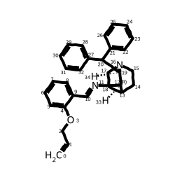 C=CCOc1ccccc1C=N[C@@H]1C2CCN(CC2)[C@@H]1C(c1ccccc1)c1ccccc1